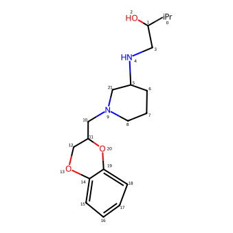 CC(C)C(O)CNC1CCCN(CC2COc3ccccc3O2)C1